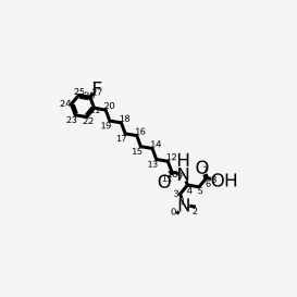 CN(C)CC(CC(=O)O)NC(=O)CCCCCCCCCc1ccccc1F